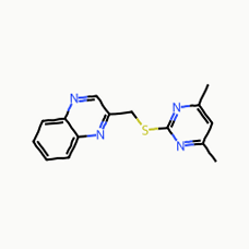 Cc1cc(C)nc(SCc2cnc3ccccc3n2)n1